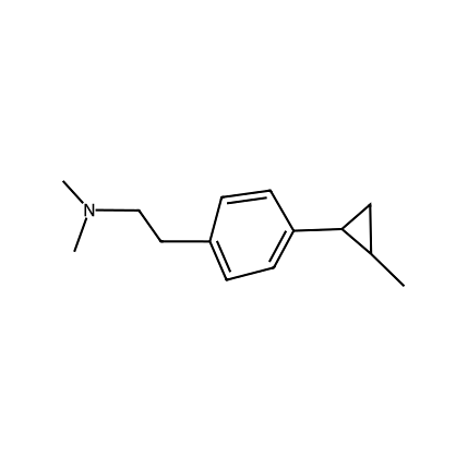 CC1CC1c1ccc(CCN(C)C)cc1